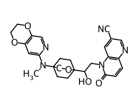 CN(c1cc2c(cn1)OCCO2)C12CCC(C(O)Cn3c(=O)ccc4ncc(C#N)cc43)(CC1)OC2